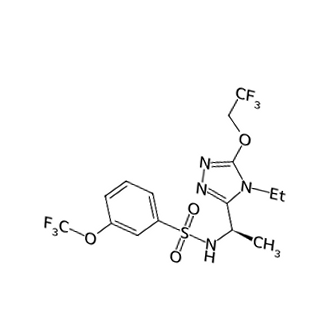 CCn1c(OCC(F)(F)F)nnc1[C@@H](C)NS(=O)(=O)c1cccc(OC(F)(F)F)c1